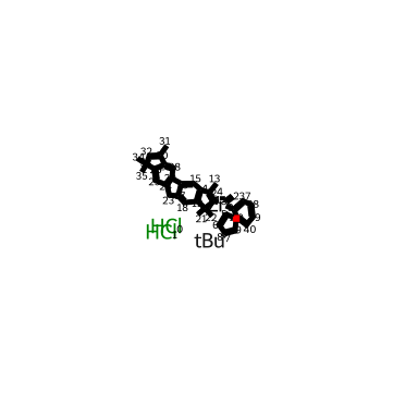 Cl.Cl.[CH2]=[Zr]([CH3])([C]1=CC(C(C)(C)C)=CC1)([C]1=C(C)c2cc3c(cc2C1(C)C)Cc1cc2c(cc1-3)C(C)=CC2(C)C)[c]1ccccc1